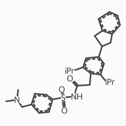 CC(C)c1cc(C2Cc3ccccc3C2)cc(C(C)C)c1CC(=O)NS(=O)(=O)c1ccc(CN(C)C)cc1